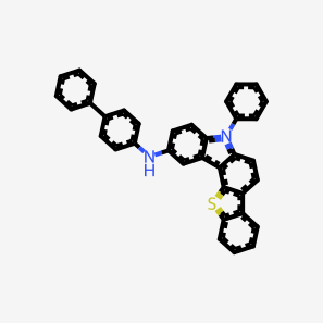 c1ccc(-c2ccc(Nc3ccc4c(c3)c3c5sc6ccccc6c5ccc3n4-c3ccccc3)cc2)cc1